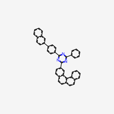 c1ccc(-c2nc(-c3ccc(-c4ccc5ccccc5c4)cc3)nc(-c3ccc4ccc5ccc6ccccc6c5c4c3)n2)cc1